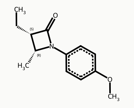 CC[C@@H]1C(=O)N(c2ccc(OC)cc2)[C@@H]1C